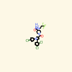 NC(=O)C1(NCCC(F)(F)F)CCN(C(=O)c2cc(-c3ccc(Cl)cc3Cl)n(-c3ccc(Cl)cc3)c2)CC1